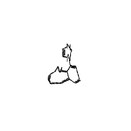 c1cnc2c(-n3ccnc3)cccc2c1